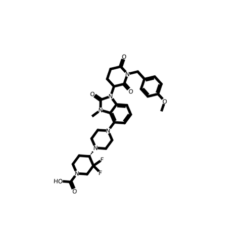 COc1ccc(CN2C(=O)CCC(n3c(=O)n(C)c4c(N5CCN([C@H]6CCN(C(=O)O)CC6(F)F)CC5)cccc43)C2=O)cc1